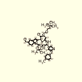 Cc1ccc(Cn2cc(C(=O)NC3=CN(COCC[Si](C)(C)C)C(=O)C(c4cc5cc(C=O)ccc5n4C(=O)OC(C)(C)C)C3)cn2)cc1